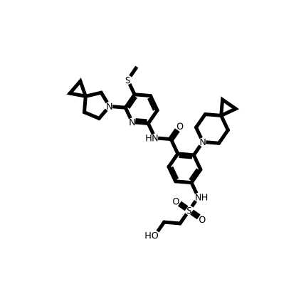 CSc1ccc(NC(=O)c2ccc(NS(=O)(=O)CCO)cc2N2CCC3(CC2)CC3)nc1N1CCC2(CC2)C1